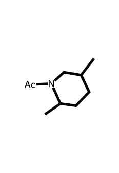 CC(=O)N1CC(C)CCC1C